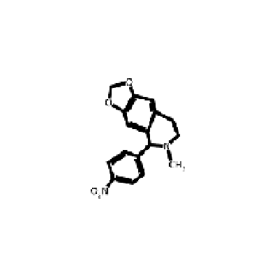 CN1CCc2cc3c(cc2C1c1ccc([N+](=O)[O-])cc1)OCO3